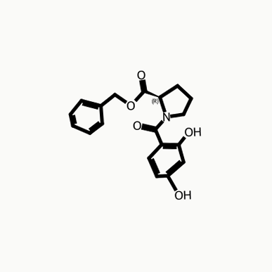 O=C(OCc1ccccc1)[C@H]1CCCN1C(=O)c1ccc(O)cc1O